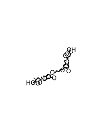 COc1cc2c(cc1OCCCCOc1cc3c(cc1OC)CN(C(=O)C[C@H](C)C(=O)O)C3)CN(C(=O)C[C@H](C)C(=O)O)C2